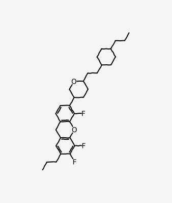 CCCc1cc2c(c(F)c1F)Oc1c(ccc(C3CCC(CCC4CCC(CCC)CC4)OC3)c1F)C2